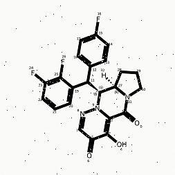 O=C1c2c(O)c(=O)cnn2[C@@H](C(c2ccc(F)cc2)c2cccc(F)c2F)[C@H]2CCCN12